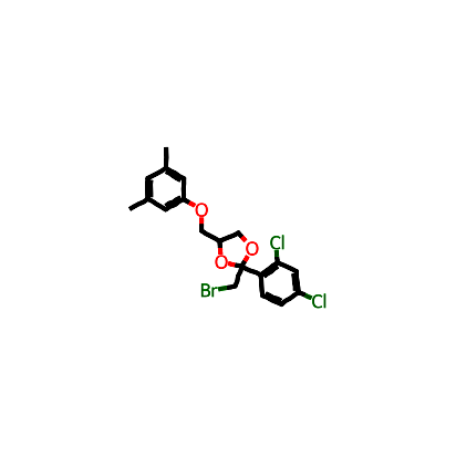 Cc1cc(C)cc(OCC2COC(CBr)(c3ccc(Cl)cc3Cl)O2)c1